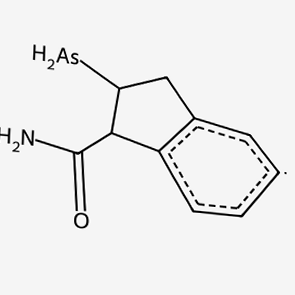 NC(=O)C1c2cc[c]cc2CC1[AsH2]